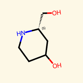 OC[C@@H]1CC(O)CCN1